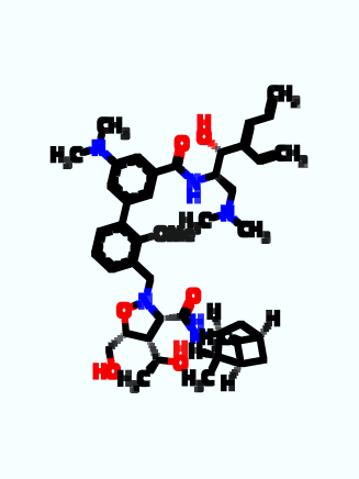 C=C/C=C(\C=C)[C@@H](O)[C@@H](CN(C)C)NC(=O)c1cc(-c2cccc(CN3O[C@@H](CO)[C@@H]([C@H](C)O)[C@H]3C(=O)N[C@H]3C[C@H]4C[C@H](C4=C)[C@@H]3C)c2OC)cc(N(C)C)c1